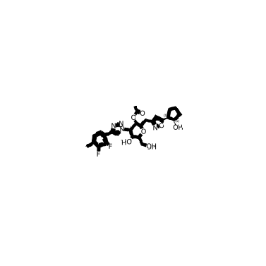 CC(=O)OC1C(Cc2cc([C@H]3CCC[C@@H]3O)on2)OC(CO)C(O)C1n1cc(-c2ccc(C)c(F)c2F)nn1